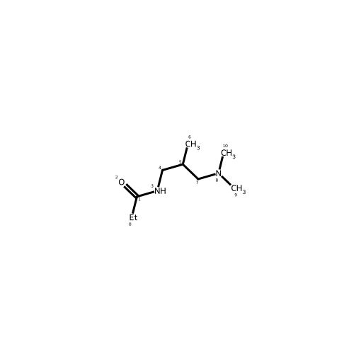 CCC(=O)NCC(C)CN(C)C